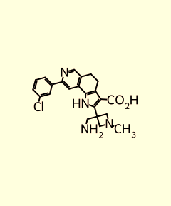 CN1CC(CN)(c2[nH]c3c(c2C(=O)O)CCc2cnc(-c4cccc(Cl)c4)cc2-3)C1